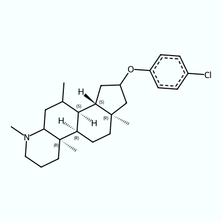 CC1CC2N(C)CCC[C@]2(C)[C@@H]2CC[C@]3(C)CC(Oc4ccc(Cl)cc4)C[C@H]3[C@H]12